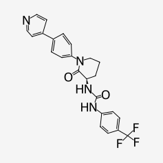 O=C(Nc1ccc(C(F)(F)F)cc1)N[C@@H]1CCCN(c2ccc(-c3ccncc3)cc2)C1=O